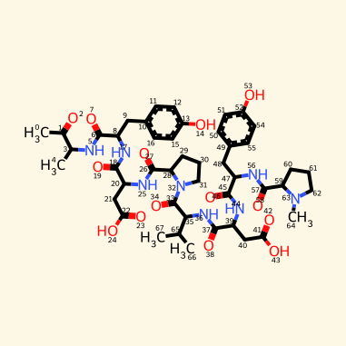 CC(=O)C(C)NC(=O)C(Cc1ccc(O)cc1)NC(=O)C(CC(=O)O)NC(=O)C1CCCN1C(=O)C(NC(=O)C(CC(=O)O)NC(=O)C(Cc1ccc(O)cc1)NC(=O)C1CCCN1C)C(C)C